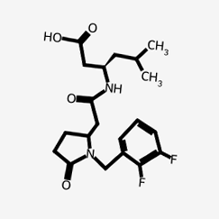 CC(C)C[C@H](CC(=O)O)NC(=O)CC1CCC(=O)N1Cc1cccc(F)c1F